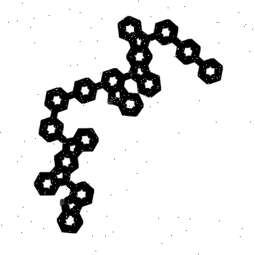 c1ccc(-c2ccc(-c3cccc(-n4c5ccccc5c5cc6c(cc54)c4ccccc4n6-c4ccc(-c5ccc(-c6cccc(-c7cccc(-n8c9ccccc9c9cc%10c(cc98)c8ccccc8n%10-c8cccc9c8oc8ccccc89)c7)c6)cc5)c5oc6ccccc6c45)c3)cc2)cc1